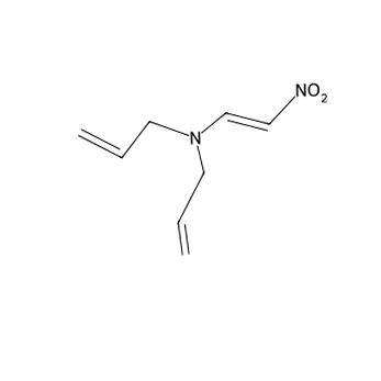 C=CCN(/C=C/[N+](=O)[O-])CC=C